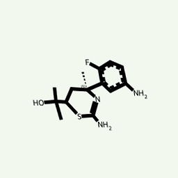 CC(C)(O)C1C[C@@](C)(c2cc(N)ccc2F)N=C(N)S1